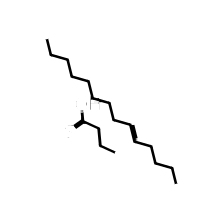 CCCC(O)=S.CCCC/C=C/CCCCCCCC